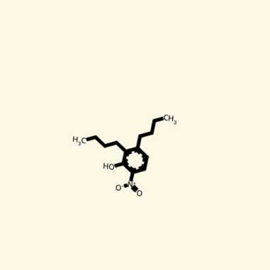 CCCCc1ccc([N+](=O)[O-])c(O)c1CCCC